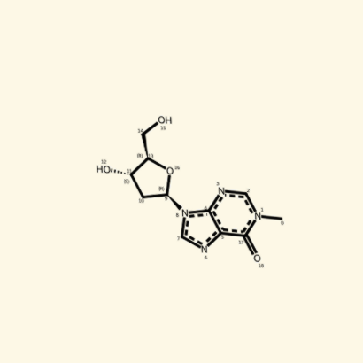 Cn1cnc2c(ncn2[C@H]2C[C@H](O)[C@@H](CO)O2)c1=O